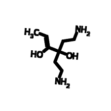 CC=C(O)C(O)(CCN)CCN